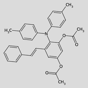 CC(=O)Oc1cc(/C=C/c2ccccc2)c(N(c2ccc(C)cc2)c2ccc(C)cc2)c(OC(C)=O)c1